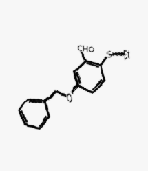 CCSc1ccc(OCc2ccccc2)cc1C=O